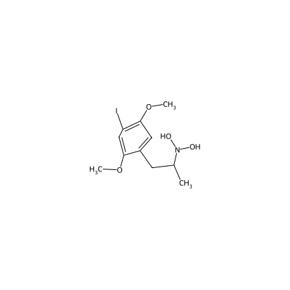 COc1cc(CC(C)N(O)O)c(OC)cc1I